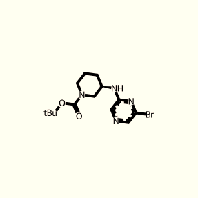 CC(C)(C)OC(=O)N1CCC[C@@H](Nc2cncc(Br)n2)C1